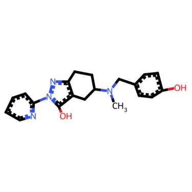 CN(Cc1ccc(O)cc1)C1CCc2nn(-c3ccccn3)c(O)c2C1